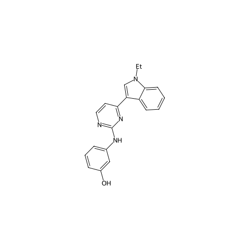 CCn1cc(-c2ccnc(Nc3cccc(O)c3)n2)c2ccccc21